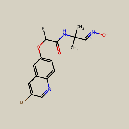 CCC(Oc1ccc2ncc(Br)cc2c1)C(=O)NC(C)(C)/C=N/O